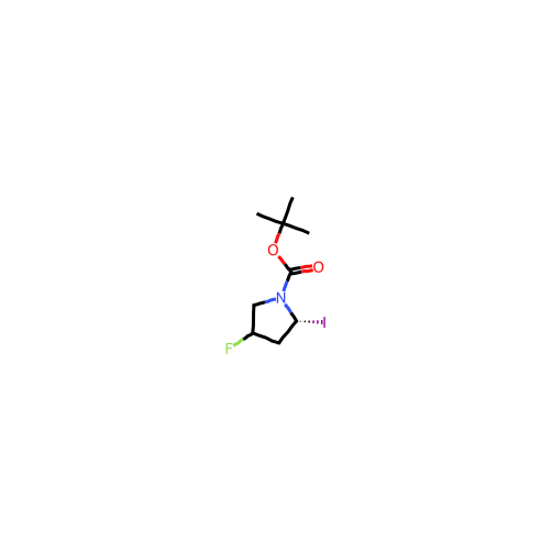 CC(C)(C)OC(=O)N1CC(F)C[C@H]1I